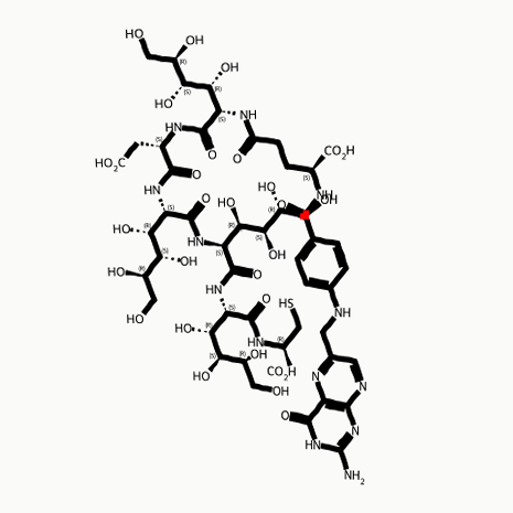 Nc1nc2ncc(CNc3ccc(C(=O)N[C@@H](CCC(=O)N[C@H](C(=O)N[C@@H](CC(=O)O)C(=O)N[C@H](C(=O)N[C@H](C(=O)N[C@H](C(=O)N[C@@H](CS)C(=O)O)[C@@H](O)[C@H](O)[C@H](O)CO)[C@@H](O)[C@H](O)[C@H](O)CO)[C@@H](O)[C@H](O)[C@H](O)CO)[C@@H](O)[C@H](O)[C@H](O)CO)C(=O)O)cc3)nc2c(=O)[nH]1